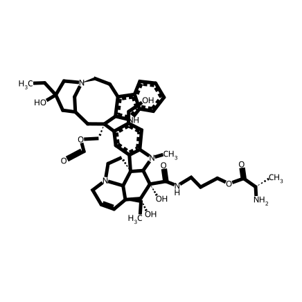 CCC1(O)CC2C[N@](CCc3c([nH]c4ccccc34)[C@@](COC=O)(c3cc4c(cc3CO)N(C)C3[C@]45CCN4CC=C[C@](CC)(C45)[C@@H](O)[C@]3(O)C(=O)NCCCOC(=O)[C@H](C)N)C2)C1